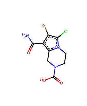 NC(=O)c1c(Br)c(Cl)n2c1CN(C(=O)O)CC2